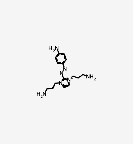 NCCCn1cc[n+](CCCN)c1/N=N/c1ccc(N)cc1